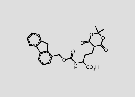 CC1(C)OC(=O)C(CCC(NC(=O)OCc2cccc3c2Cc2ccccc2-3)C(=O)O)C(=O)O1